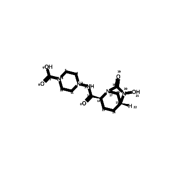 O=C(NN1CCN(C(=O)O)CC1)[C@@H]1CC[C@@H]2CN1C(=O)N2O